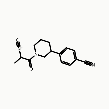 [C-]#[N+]C(C)C(=O)N1CCCC(c2ccc(C#N)cc2)C1